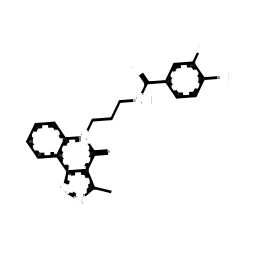 Cc1[nH]nc2c1c(=O)n(CCCNC(=O)c1ccc(Cl)c(Cl)c1)c1ccccc21